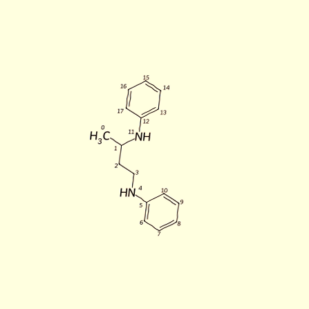 CC(CCNc1ccccc1)Nc1ccccc1